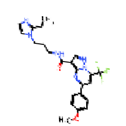 CCc1nccn1CCCNC(=O)c1cnn2c(C(F)(F)F)cc(-c3ccc(OC)cc3)nc12